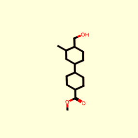 COC(=O)C1CCC(C2CCC(CO)C(C)C2)CC1